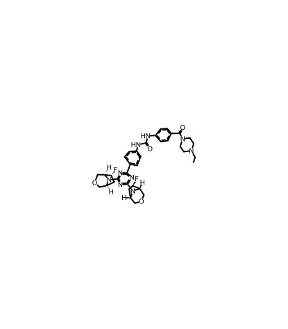 CCN1CCN(C(=O)c2ccc(NC(=O)Nc3ccc(-c4nc(N5[C@@H]6COC[C@H]5[C@H](F)C6)nc(N5[C@@H]6COC[C@H]5[C@H](F)C6)n4)cc3)cc2)CC1